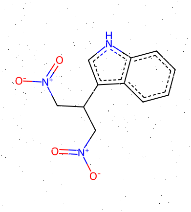 O=[N+]([O-])CC(C[N+](=O)[O-])c1c[nH]c2ccccc12